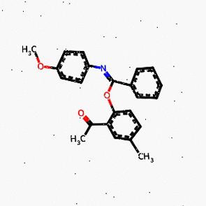 COc1ccc(N=C(Oc2ccc(C)cc2C(C)=O)c2ccccc2)cc1